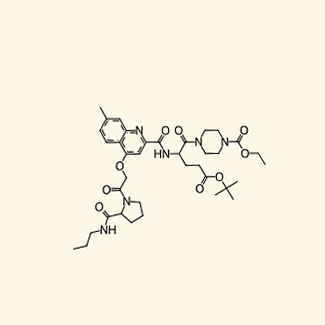 CCCNC(=O)C1CCCN1C(=O)COc1cc(C(=O)NC(CCC(=O)OC(C)(C)C)C(=O)N2CCN(C(=O)OCC)CC2)nc2cc(C)ccc12